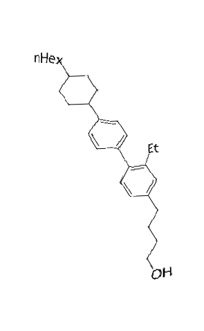 CCCCCCC1CCC(c2ccc(-c3ccc(CCCCO)cc3CC)cc2)CC1